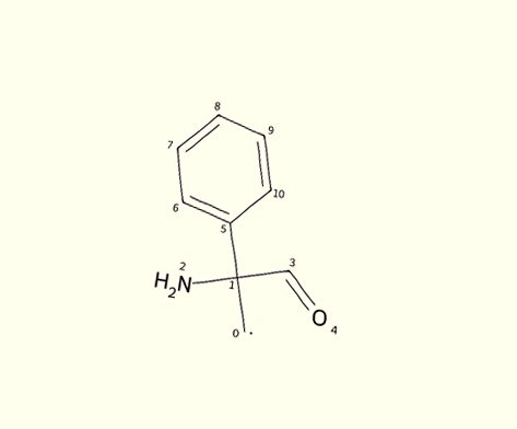 [CH2]C(N)(C=O)c1ccccc1